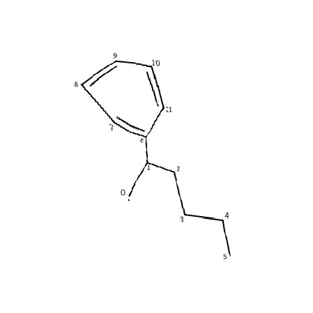 [CH2]C(CCCC)c1ccccc1